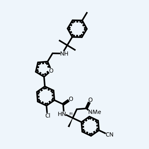 CNC(=O)C[C@@](C)(NC(=O)c1cc(-c2ccc(CNC(C)(C)c3ccc(C)cc3)o2)ccc1Cl)c1ccc(C#N)cc1